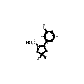 O=C(O)N1CC(F)(F)CC1c1cccc(F)c1